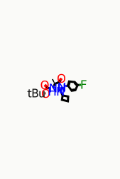 C[C@H](NC(=O)OC(C)(C)C)C(=O)N(NC1CCC1)c1ccc(F)cc1